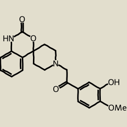 COc1ccc(C(=O)CN2CCC3(CC2)OC(=O)Nc2ccccc23)cc1O